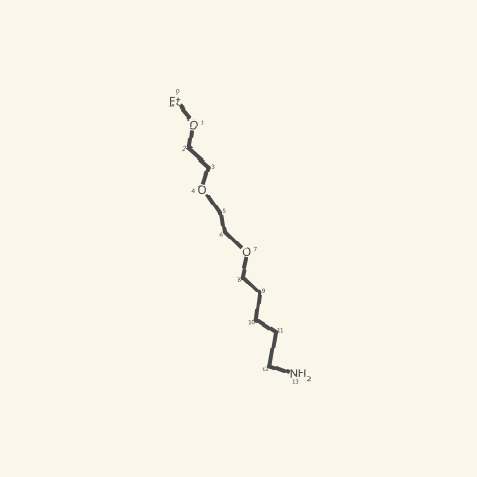 CCOCCOCCOCCCCCN